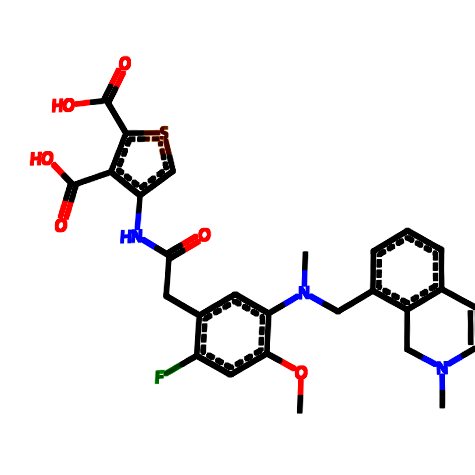 COc1cc(F)c(CC(=O)Nc2csc(C(=O)O)c2C(=O)O)cc1N(C)Cc1cccc2c1CN(C)C=C2